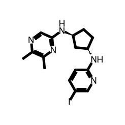 Cc1ncc(N[C@H]2CC[C@H](Nc3ccc(I)cn3)C2)nc1C